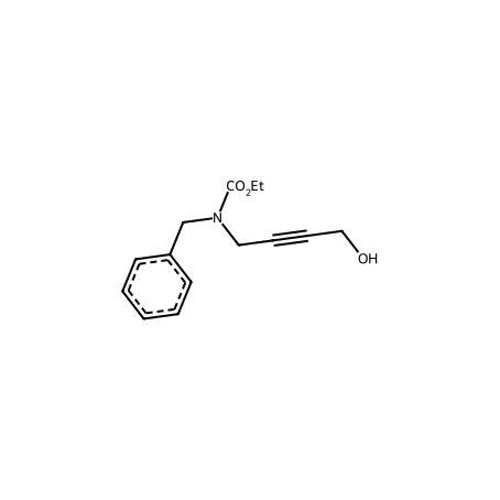 CCOC(=O)N(CC#CCO)Cc1ccccc1